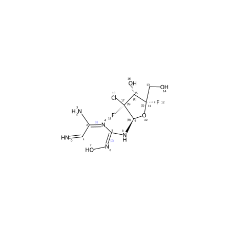 N=C/C(N)=N\C(=N/O)N[C@@H]1O[C@](F)(CO)[C@@H](O)[C@]1(F)Cl